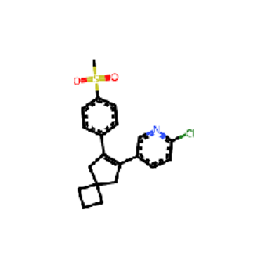 CS(=O)(=O)c1ccc(C2=C(c3ccc(Cl)nc3)CC3(CCC3)C2)cc1